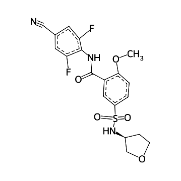 COc1ccc(S(=O)(=O)N[C@H]2CCOC2)cc1C(=O)Nc1c(F)cc(C#N)cc1F